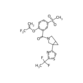 C=C(Oc1ccc(S(C)(=O)=O)cc1C(=O)N1CC2CC2(c2csc(C(C)(F)F)n2)C1)C(F)(F)F